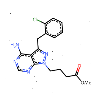 COC(=O)CCCn1nc(Cc2ccccc2Cl)c2c(N)ncnc21